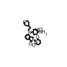 Cl.NC1CCC(N(CCC2CCOCC2)c2cccc3c2CN(N2C(=O)CCCC2=O)C3=O)CC1